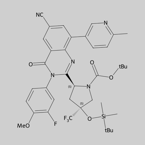 COc1ccc(-n2c([C@@H]3C[C@@](O[Si](C)(C)C(C)(C)C)(C(F)(F)F)CN3C(=O)OC(C)(C)C)nc3c(-c4ccc(C)nc4)cc(C#N)cc3c2=O)cc1F